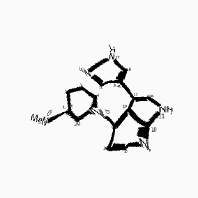 CN[C@H]1CCCN(c2ccnc3[nH]cc(-c4cn[nH]c4)c23)C1